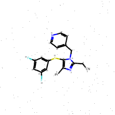 CC(C)c1nc(CC#N)n(Cc2ccncc2)c1Sc1cc(F)cc(F)c1